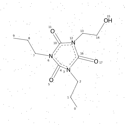 CCCn1c(=O)n(CCC)c(=O)n(CCO)c1=O